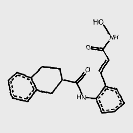 O=C(C=Cc1ccccc1NC(=O)C1CCc2ccccc2C1)NO